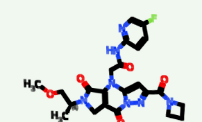 COC[C@H](C)N1Cc2c(n(CC(=O)Nc3ccc(F)cn3)c3cc(C(=O)N4CCC4)nn3c2=O)C1=O